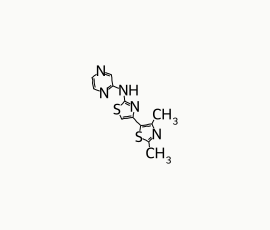 Cc1nc(C)c(-c2csc(Nc3cnccn3)n2)s1